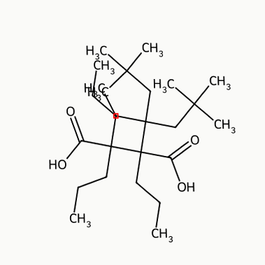 CCCC(CCC)(C(=O)O)C(CCC)(C(=O)O)C(CC)(CC(C)(C)C)CC(C)(C)C